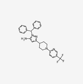 Nc1cc(C2CCN(c3ccc(C(F)(F)F)cn3)CC2)nn1C(c1ccccc1)c1ccccc1